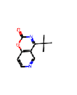 CC(C)(C)c1nc(=O)oc2ccncc12